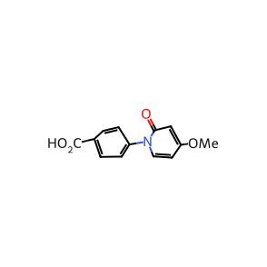 COc1ccn(-c2ccc(C(=O)O)cc2)c(=O)c1